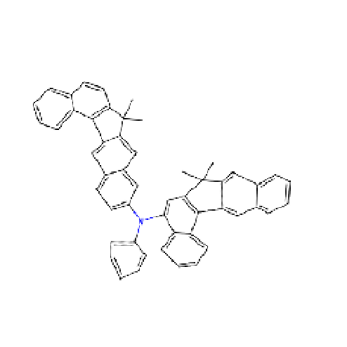 CC1(C)c2cc3cc(N(c4ccccc4)c4cc5c(c6ccccc46)-c4cc6ccccc6cc4C5(C)C)ccc3cc2-c2c1ccc1ccccc21